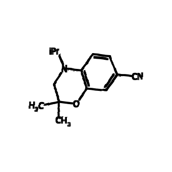 CC(C)N1CC(C)(C)Oc2cc(C#N)ccc21